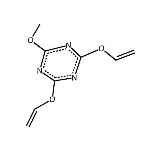 C=COc1nc(OC)nc(OC=C)n1